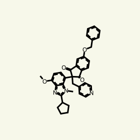 COc1ccc(C2(Cc3ccncc3)C(=O)c3ccc(OCc4ccccc4)cc3C2=O)c2c1nc(C1CCCC1)n2C